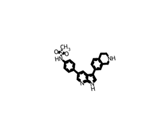 CS(=O)(=O)Nc1ccc(-c2cnc3[nH]cc(-c4ccc5c(c4)CNCC5)c3c2)cc1